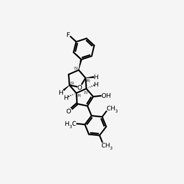 Cc1cc(C)c(C2=C(O)[C@@H]3[C@@H]4O[C@@H](C[C@H]4c4cccc(F)c4)[C@@H]3C2=O)c(C)c1